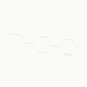 NCCN1CCC(c2cccc(F)n2)CC1